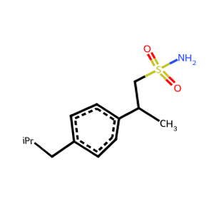 CC(C)Cc1ccc(C(C)CS(N)(=O)=O)cc1